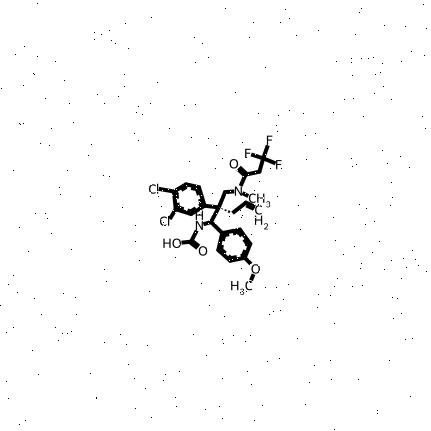 C=CC[C@@](CN(C)C(=O)CC(F)(F)F)(c1ccc(Cl)c(Cl)c1)C(NC(=O)O)c1ccc(OC)cc1